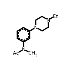 CCN1CCN(c2cccc(N(C)C(C)=O)c2)CC1